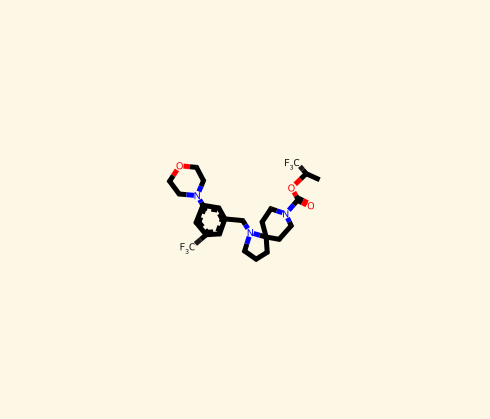 CC(OC(=O)N1CCC2(CCCN2Cc2cc(N3CCOCC3)cc(C(F)(F)F)c2)CC1)C(F)(F)F